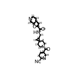 N#CC1CC=C(C(=O)N2CCC3(CC2)CC3CNC(=O)c2cc3ccncc3o2)C=N1